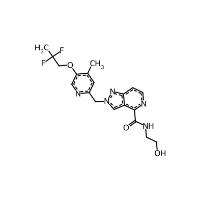 Cc1cc(Cn2cc3c(C(=O)NCCO)nccc3n2)ncc1OCC(C)(F)F